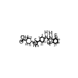 O=C(Nc1ccc(-c2cnc(C3CCC(C(=O)O)CC3)s2)cc1)Nc1c(F)cccc1F